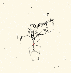 CCOC(=O)N[C@@H](CCN1C2CCC1CC(n1c(C)nc3c1CCN(C(C)=O)C3)C2)c1cccc(F)c1